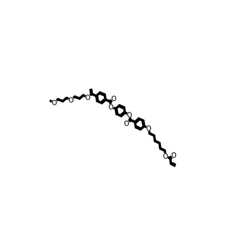 C=CC(=O)OCCCCCCOc1ccc(C(=O)Oc2ccc(OC(=O)c3ccc(C(=C)OCCCOCCCOC)cc3)cc2)cc1